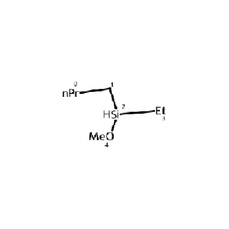 CCCC[SiH](CC)OC